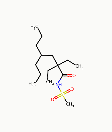 CCCC(CCC)CC(CC)(CC)C(=O)NS(C)(=O)=O